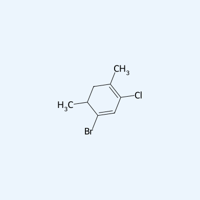 CC1=C(Cl)C=C(Br)C(C)C1